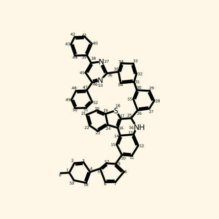 CC1C=CC(c2cccc(-c3ccc4c(c3)-c3c(sc5ccccc35)C(c3cccc(-c5cccc(-c6nc(-c7ccccc7)cc(-c7ccccc7)n6)c5)c3)N4)c2)=CC1